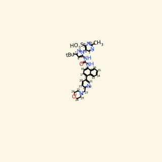 Cc1ncc(-n2nc(C(C)(C)C)cc2NC(=O)Nc2ccc(-c3ccc(CN4CCOCC4)nc3)c3ccccc23)c(S(=O)(=O)O)n1